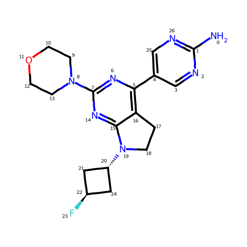 Nc1ncc(-c2nc(N3CCOCC3)nc3c2CCN3[C@H]2C[C@H](F)C2)cn1